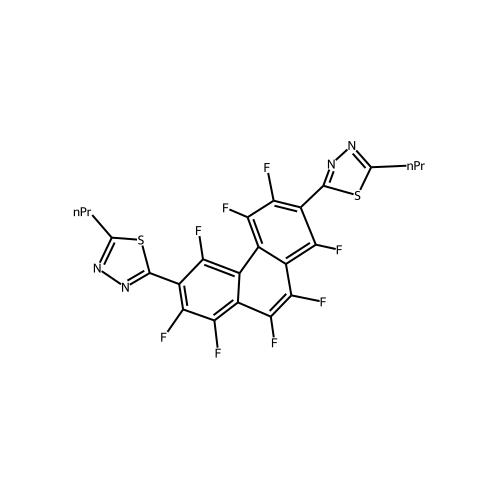 CCCc1nnc(-c2c(F)c(F)c3c(c2F)c(F)c(F)c2c(F)c(F)c(-c4nnc(CCC)s4)c(F)c23)s1